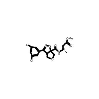 COC(=O)C[C@H](C)NC(=O)C12COCC1C(c1cc(Cl)cc(Cl)c1)=NO2